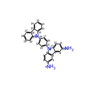 Nc1ccc2c(c1)c1cc(N)ccc1n2-c1ccc(-n2c3ccccc3c3ccccc32)cc1